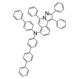 c1ccc(-c2ccc(-c3ccc(N(c4ccc(-c5ccccc5)cc4)c4cccc5c4cc(-c4ccccc4)n4nc(-c6ccccc6)c(-c6ccccc6)c54)cc3)cc2)cc1